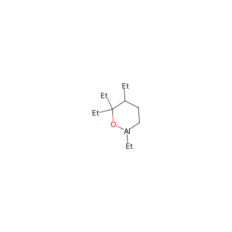 CCC1C[CH2][Al]([CH2]C)[O]C1(CC)CC